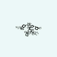 Cn1nnc2cc(CNC(=O)[C@@H]3C[C@H](Cc4cccc(Cl)c4)CN3C(=O)[C@@H](CCC(=O)N3CCCC3)NC(=O)OC(C)(C)C)ccc21